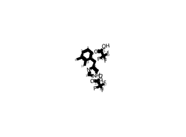 Cc1cccc(Cc2c[nH]cn2)c1C.O=C(O)C(F)(F)F.O=C(O)C(F)(F)F